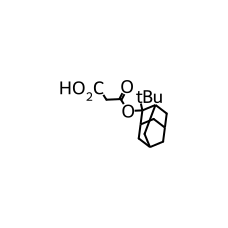 CC(C)(C)C1(OC(=O)CC(=O)O)C2CC3CC(C2)CC1C3